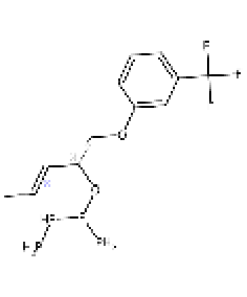 C/C=C/[C@H](COc1cccc(C(F)(F)F)c1)OP(P)PP